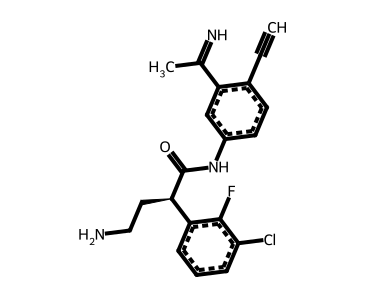 C#Cc1ccc(NC(=O)[C@H](CCN)c2cccc(Cl)c2F)cc1C(C)=N